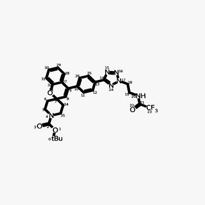 CC(C)(C)OC(=O)N1CCC2(C=C(c3ccc(-c4nnn(CCNC(=O)C(F)(F)F)n4)cc3)c3ccccc3O2)CC1